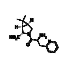 CC1(C)[C@@H]2[C@@H](C(=O)O)N(C(=O)[C@@H](N)Cc3ccccn3)C[C@@H]21